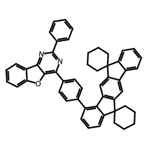 c1ccc(-c2nc(-c3ccc(-c4cccc5c4-c4cc6c(cc4C54CCCCC4)-c4ccccc4C64CCCCC4)cc3)c3oc4ccccc4c3n2)cc1